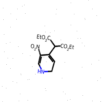 CCOC(=O)C(C(=O)OCC)C1=CCNC=C1[N+](=O)[O-]